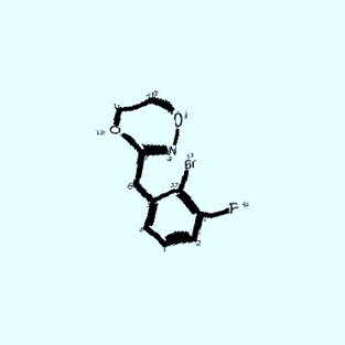 Fc1cccc(CC2=NOCCO2)c1Br